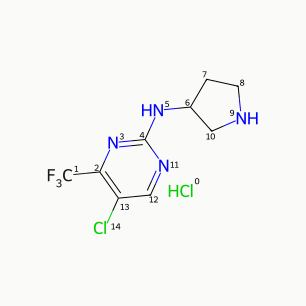 Cl.FC(F)(F)c1nc(NC2CCNC2)ncc1Cl